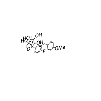 COc1ccc(Cc2cc([C@]34OC[C@](O)(O3)[C@@](C)(O)[C@@H](O)[C@H]4O)ccc2F)cc1